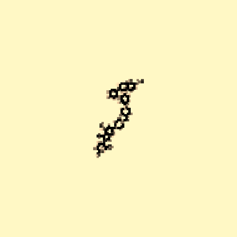 COc1cc(N2CCN(CC3CCN(c4ccc([C@@H]5c6ccc(O)cc6CC[C@@H]5c5ccccc5)cc4)CC3)CC2)cc2c1C(=O)N(C1CCC(=O)NC1=O)C2